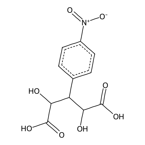 O=C(O)C(O)C(c1ccc([N+](=O)[O-])cc1)C(O)C(=O)O